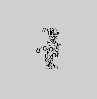 COC(=O)N[C@H](C(=O)N1CCC[C@H]1c1nc2cc(F)c([C@H]3CC[C@H](c4cc5[nH]c([C@@H]6CCCN6C(=O)[C@H](C(C)C)N(C)C(=O)O)nc5cc4F)N3c3cc(F)c(N4CCC(Cc5ccccc5)CC4)c(F)c3)cc2[nH]1)C(C)C